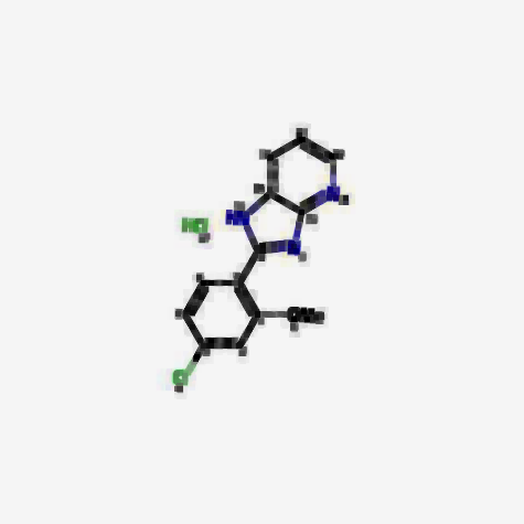 COc1cc(Cl)ccc1-c1nc2ncccc2[nH]1.Cl